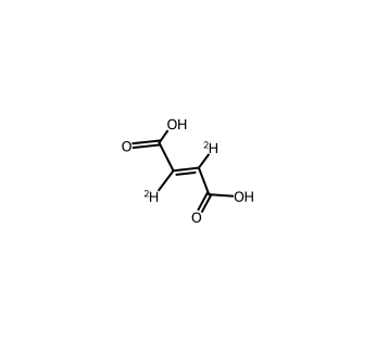 [2H]C(C(=O)O)=C([2H])C(=O)O